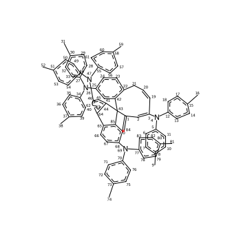 C=C1/C=C(N(c2ccc(C)cc2)c2ccc(C)cc2)\C=C/Cc2ccc(N(c3ccc(C)cc3)c3ccc(C)cc3)cc2C12c1cc(N(c3ccc(C)cc3)c3ccc(C)cc3)ccc1-c1ccc(N(c3ccc(C)cc3)c3ccc(C)cc3)cc12